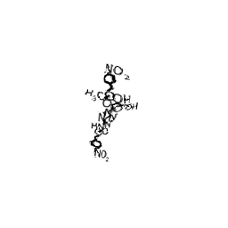 CC(OCCc1ccc([N+](=O)[O-])cc1)OC1C(O)[C@@H](CO)O[C@H]1n1cnc2c(NC(=O)OCCc3ccc([N+](=O)[O-])cc3)ncnc21